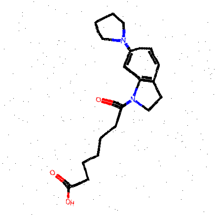 O=C(O)CCCCCC(=O)N1CCc2ccc(N3CCCC3)cc21